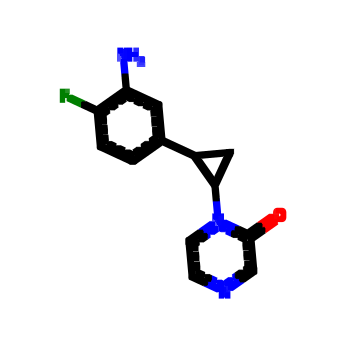 Nc1cc(C2CC2n2ccncc2=O)ccc1F